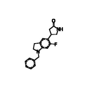 O=C1CC(c2cc3c(cc2F)N(Cc2ccccc2)CC3)CN1